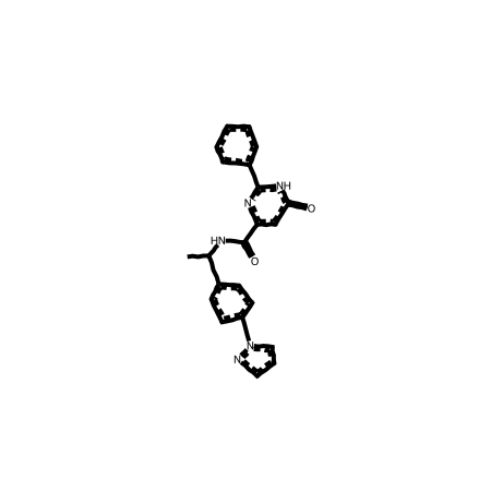 CC(NC(=O)c1cc(=O)[nH]c(-c2ccccc2)n1)c1ccc(-n2cccn2)cc1